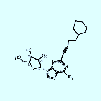 Nc1nc(C#CCCC2CCCCC2)nc2c1ncn2[C@@H]1O[C@H](CO)[C@@H](O)[C@H]1O